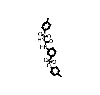 Cc1ccc(OS(=O)(=O)c2cccc(NC(=O)NS(=O)(=O)c3ccc(C)cc3)c2)cc1